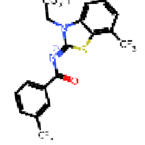 O=C(O)Cn1/c(=N/C(=O)c2cccc(C(F)(F)F)c2)sc2c(C(F)(F)F)cccc21